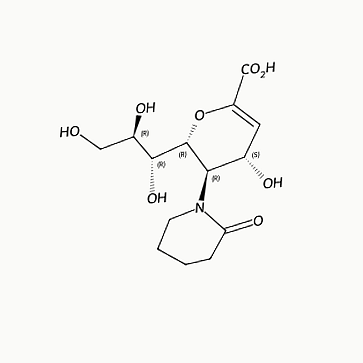 O=C(O)C1=C[C@H](O)[C@@H](N2CCCCC2=O)[C@H]([C@H](O)[C@H](O)CO)O1